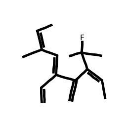 C=C/C(=C\C(C)=C/C)C(=C)/C(=C\C)C(C)(C)F